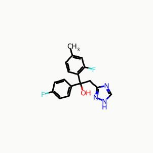 Cc1ccc(C(O)(Cc2nc[nH]n2)c2ccc(F)cc2)c(F)c1